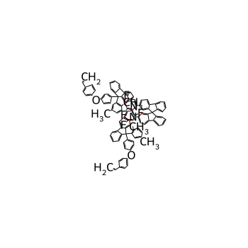 C=Cc1ccc(Oc2ccc(C3(c4cc(C)ccc4C)c4ccccc4-c4ccc(N(c5ccc6c(c5)C5(c7ccccc7-6)c6ccccc6-c6ccc(N(c7ccc8c(c7)C(c7ccc(Oc9ccc(C=C)cc9)cc7)(c7cc(C)ccc7C)c7ccccc7-8)c7ccc(F)cc7F)cc65)c5ccc(F)cc5F)cc43)cc2)cc1